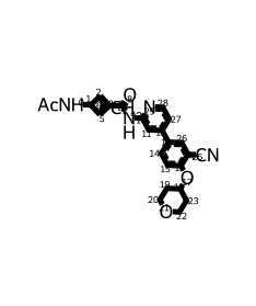 CC(=O)NC1C2C(C)C1C2C(=O)Nc1cc(-c2ccc(OC3CCOCC3)c(C#N)c2)ccn1